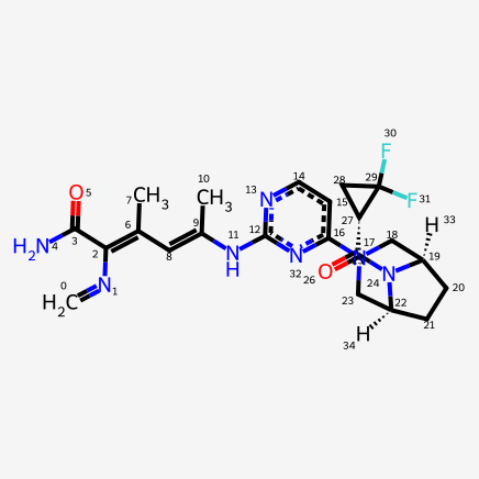 C=N/C(C(N)=O)=C(C)\C=C(/C)Nc1nccc(N2C[C@H]3CC[C@@H](C2)N3C(=O)[C@@H]2CC2(F)F)n1